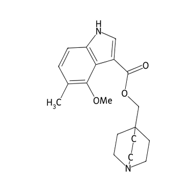 COc1c(C)ccc2[nH]cc(C(=O)OCC34CCN(CC3)CC4)c12